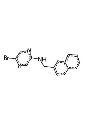 Brc1cnc(NCc2ccc3ccccc3c2)cn1